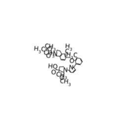 COC[C@H]1N(c2cccc(-c3cccc(C)c3OCc3ccc4c(c3C)CCN(C(=O)OC(C)(C)C)C4)n2)CC[C@@]1(C)C(=O)O